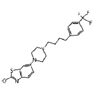 [O]c1nc2ccc(N3CCN(CCCCc4ccc(C(F)(F)F)cc4)CC3)cc2s1